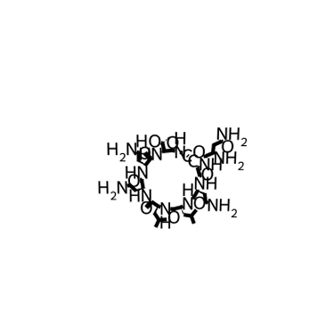 CC(C)C[C@@H]1NC(=O)[C@@H](CC(C)C)NC(=O)[C@H](CCN)NC(=O)[C@@H](NC(=O)[C@@H](N)CC(N)=O)CCNC(=O)[C@H]([C@@H](C)O)NC(=O)[C@H](CCN)NC(=O)[C@H](CCN)NC1=O